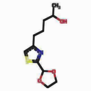 CC(O)CCCc1csc(C2OCCO2)n1